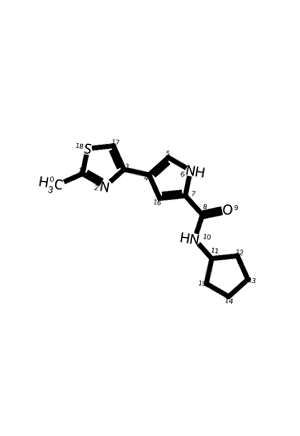 Cc1nc(-c2c[nH]c(C(=O)NC3CCCC3)c2)cs1